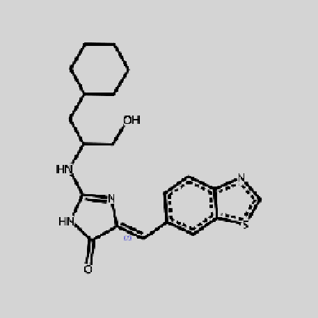 O=C1NC(NC(CO)CC2CCCCC2)=N/C1=C\c1ccc2ncsc2c1